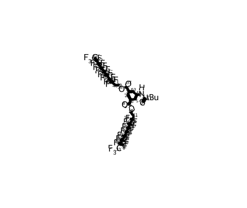 CC(C)(C)C(=O)Nc1cc(C(=O)OCCC(F)(F)C(F)(F)C(F)(F)C(F)(F)C(F)(F)C(F)(F)C(F)(F)C(F)(F)F)cc(C(=O)OCCC(F)(F)C(F)(F)C(F)(F)C(F)(F)C(F)(F)C(F)(F)C(F)(F)C(F)(F)F)c1